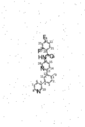 Cc1ccc(-c2cccnc2)cc1-c1ccc(NC(=O)c2ccc(F)cc2F)cn1